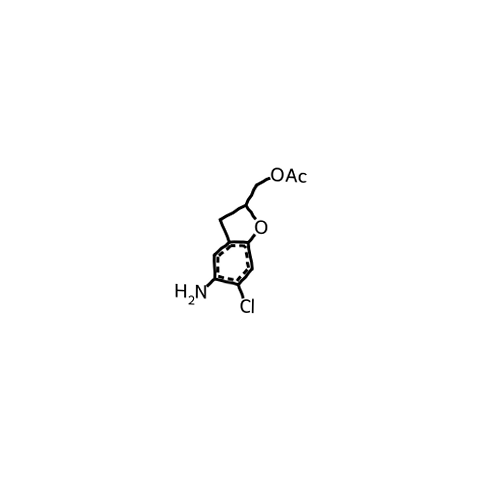 CC(=O)OCC1Cc2cc(N)c(Cl)cc2O1